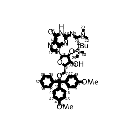 COc1ccc(C(OC[C@H]2O[C@@H](n3cnc4c(=O)[nH]c(N=CN(C)C)nc43)C(O[Si](C)(C)C(C)(C)C)C2O)(c2ccccc2)c2ccc(OC)cc2)cc1